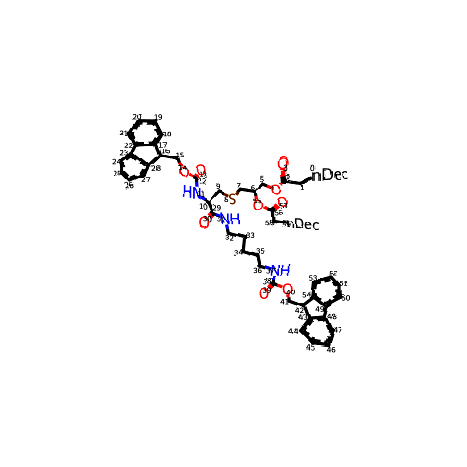 CCCCCCCCCCCC(=O)OC[C@H](CSC[C@H](NC(=O)OCC1c2ccccc2-c2ccccc21)C(=O)NCCCCCNC(=O)OCC1c2ccccc2-c2ccccc21)OC(=O)CCCCCCCCCCC